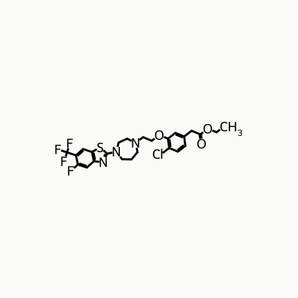 CCOC(=O)Cc1ccc(Cl)c(OCCN2CCCN(c3nc4cc(F)c(C(F)(F)F)cc4s3)CC2)c1